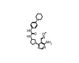 CON=Cc1c(N)ncnc1N1CCC(NC(=O)Nc2ccc(N3CCCCC3)cc2)C1